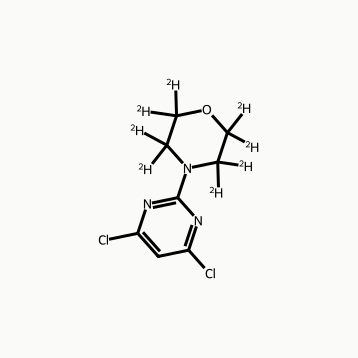 [2H]C1([2H])OC([2H])([2H])C([2H])([2H])N(c2nc(Cl)cc(Cl)n2)C1([2H])[2H]